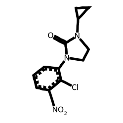 O=C1N(c2cccc([N+](=O)[O-])c2Cl)CCN1C1CC1